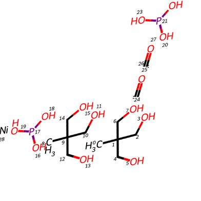 CC(CO)(CO)CO.CC(CO)(CO)CO.OP(O)O.OP(O)O.[C]=O.[C]=O.[Ni]